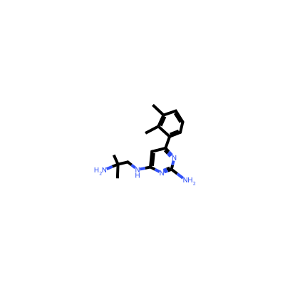 Cc1cccc(-c2cc(NCC(C)(C)N)nc(N)n2)c1C